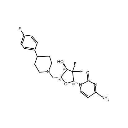 Nc1ccn([C@@H]2O[C@H](CN3CCC(c4ccc(F)cc4)CC3)[C@@H](O)C2(F)F)c(=O)n1